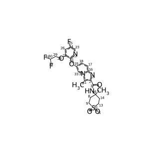 Cc1c(C(=O)NC2(C)CCS(=O)(=O)CC2)nc2ccc(Oc3ncc(F)cc3OCC(F)F)cn12